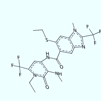 CCSc1cc2c(cc1C(=O)Nc1cc(C(F)(F)F)n(CC)c(=O)c1NC)nc(C(F)(F)F)n2C